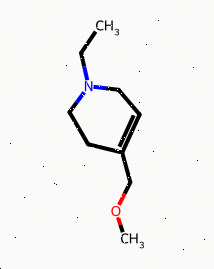 CCN1CC=C(COC)CC1